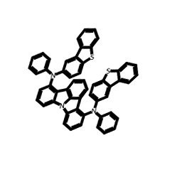 c1ccc(N(c2ccc3sc4ccccc4c3c2)c2cccc3c2c2cccc4c5c(N(c6ccccc6)c6ccc7sc8ccccc8c7c6)cccc5n3c24)cc1